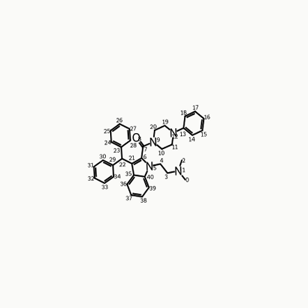 CN(C)CCn1c(C(=O)N2CCN(c3ccccc3)CC2)c(C(c2ccccc2)c2ccccc2)c2ccccc21